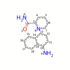 NC(=O)c1ccccn1.Nc1cccc2ccccc12